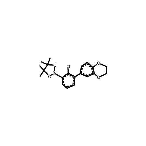 CC1(C)OB(c2cccc(-c3ccc4c(c3)OCCO4)c2Cl)OC1(C)C